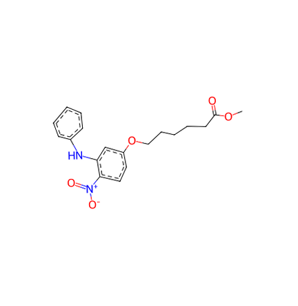 COC(=O)CCCCCOc1ccc([N+](=O)[O-])c(Nc2ccccc2)c1